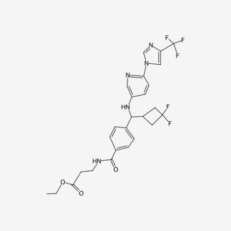 CCOC(=O)CCNC(=O)c1ccc(C(Nc2ccc(-n3cnc(C(F)(F)F)c3)nc2)C2CC(F)(F)C2)cc1